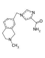 CN1CCc2ccc(Cn3cnc(C(N)=O)c3)cc2C1